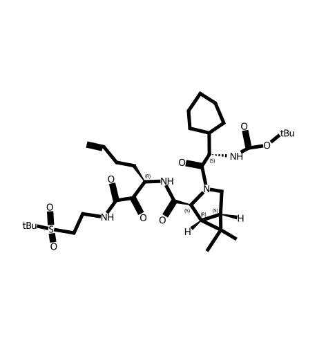 C=CCC[C@@H](NC(=O)[C@@H]1[C@@H]2[C@H](CN1C(=O)[C@@H](NC(=O)OC(C)(C)C)C1CCCCC1)C2(C)C)C(=O)C(=O)NCCS(=O)(=O)C(C)(C)C